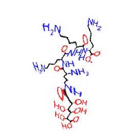 COC(=O)[C@H](CCCCN)NC(=O)[C@H](CCCCN)NC(=O)[C@H](CCCCN)NC(=O)[C@@H](N)CCCNC(=O)[C@H](O)[C@@H](O)[C@@H](O)[C@H](O)C(=O)O